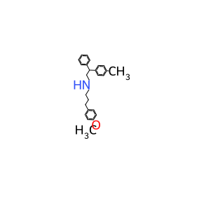 COc1ccc(CCCCNCCC(c2ccccc2)c2ccc(C)cc2)cc1